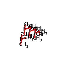 CCCCCCCCP(CCCCCCCC)CCCCCCCC.CCCCCCCCP(CCCCCCCC)CCCCCCCC.CCCCCCCCP(CCCCCCCC)CCCCCCCC.CCCCCCCCP(CCCCCCCC)CCCCCCCC.[Cl-].[Cl-].[Ni+2]